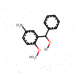 CCOC(c1ccccc1)c1cc([N+](=O)[O-])ccc1OC(=O)O